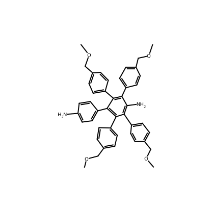 COCc1ccc(-c2c(N)c(-c3ccc(COC)cc3)c(-c3ccc(COC)cc3)c(-c3ccc(N)cc3)c2-c2ccc(COC)cc2)cc1